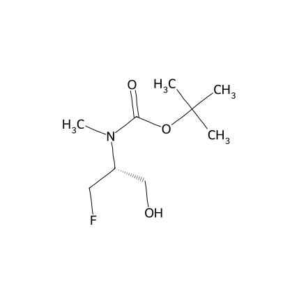 CN(C(=O)OC(C)(C)C)[C@H](CO)CF